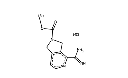 CC(C)(C)OC(=O)N1Cc2ccnc(C(=N)N)c2C1.Cl